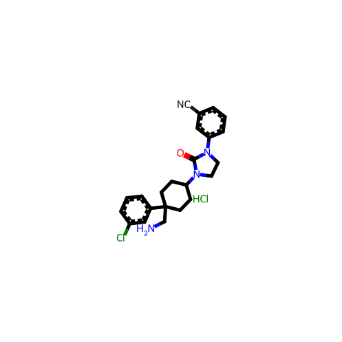 Cl.N#Cc1cccc(N2CCN(C3CCC(CN)(c4cccc(Cl)c4)CC3)C2=O)c1